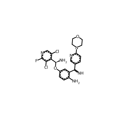 N=C(c1ccc(N2CCOCC2)nc1)c1cc(O[C@H](N)c2c(Cl)cnc(F)c2Cl)ccc1N